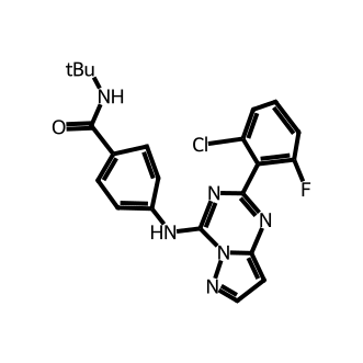 CC(C)(C)NC(=O)c1ccc(Nc2nc(-c3c(F)cccc3Cl)nc3ccnn23)cc1